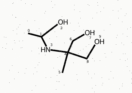 CC(O)NC(C)(CO)CO